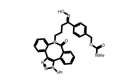 CCCn1nnc2c1-c1ccccc1C(=O)N(CCC/C(=N\O)c1ccc(COC(=O)NC)cc1)c1ccccc1-2